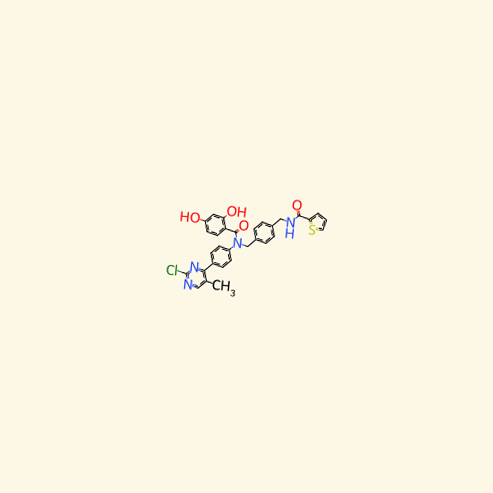 Cc1cnc(Cl)nc1-c1ccc(N(Cc2ccc(CNC(=O)c3cccs3)cc2)C(=O)c2ccc(O)cc2O)cc1